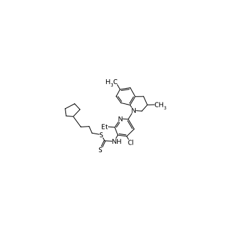 CCc1nc(N2CC(C)Cc3cc(C)ccc32)cc(Cl)c1NC(=S)SCCCC1CCCC1